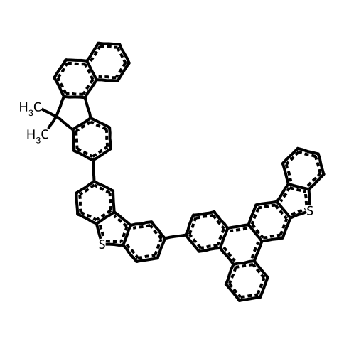 CC1(C)c2cc(-c3ccc4sc5ccc(-c6ccc7c(c6)c6ccccc6c6cc8sc9ccccc9c8cc76)cc5c4c3)ccc2-c2c1ccc1ccccc21